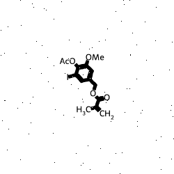 C=C(C)C(=O)OCc1cc(I)c(OC(C)=O)c(OC)c1